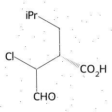 CC(C)C[C@H](C(=O)O)C(Cl)C=O